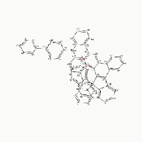 C1=CCC(C2(c3ccccc3)c3ccccc3-c3c2c2ccc(-c4ccccc4N(c4ccc(-c5ccccc5)cc4)c4ccc(-c5ccccc5)cc4)cc2c2ccccc32)C=C1